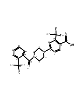 O=C(O)c1cnc(N2CCN(C(=O)c3ccccc3C(F)(F)F)CC2)nc1C(F)(F)F